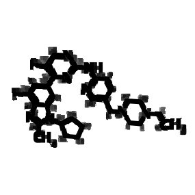 CCN1CCN(Cc2ccc(Nc3ncc(F)c(-c4cc(F)c5nc(C)n(C6CCCC6)c5c4)n3)nc2)CC1